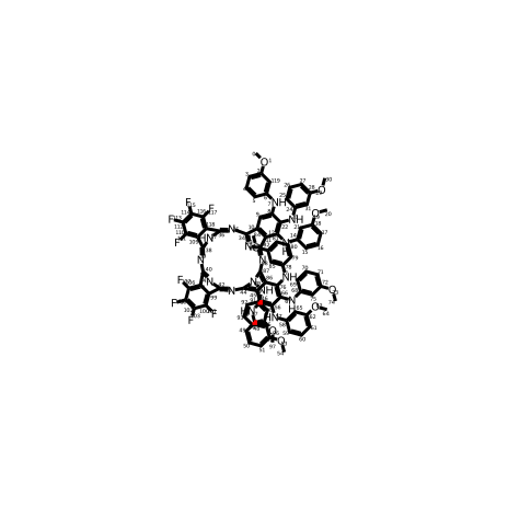 COc1cccc(Nc2cc3c(c(Nc4cccc(OC)c4)c2Nc2cccc(OC)c2)-c2nc-3nc3[nH]c(nc4nc(nc5c6c(Nc7cccc(OC)c7)c(Nc7cccc(OC)c7)c(Nc7cccc(OC)c7)c(Nc7cccc(OC)c7)c6c(n2)n5Nc2cccc(OC)c2)-c2c(F)c(F)c(F)c(F)c2-4)c2c(F)c(F)c(F)c(F)c32)c1